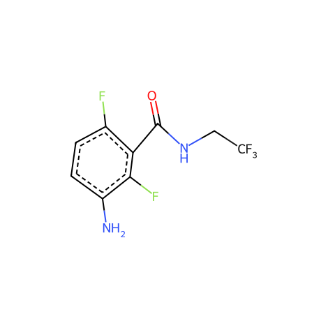 Nc1ccc(F)c(C(=O)NCC(F)(F)F)c1F